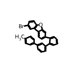 Cc1ccc(-c2cccc(-c3ccccc3-c3ccc4c(c3)oc3ccc(Br)cc34)c2)cc1